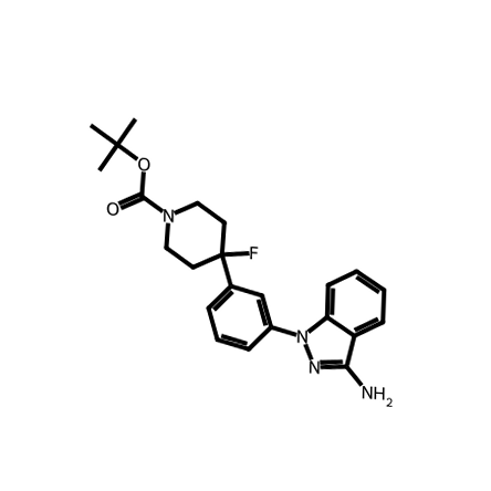 CC(C)(C)OC(=O)N1CCC(F)(c2cccc(-n3nc(N)c4ccccc43)c2)CC1